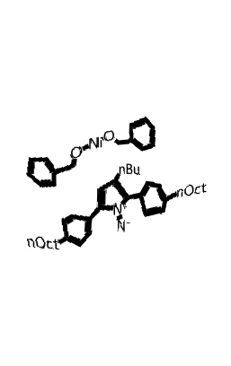 CCCCCCCCc1ccc(C2=CC(CCCC)=C(c3ccc(CCCCCCCC)cc3)[N+]2=[N-])cc1.c1ccc(C[O][Ni][O]Cc2ccccc2)cc1